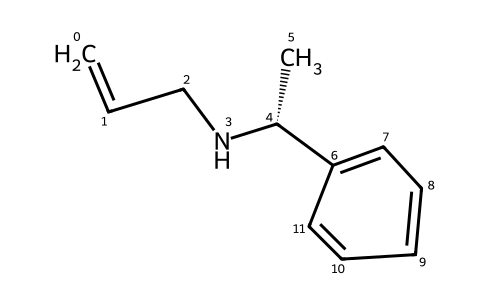 C=CCN[C@H](C)c1ccccc1